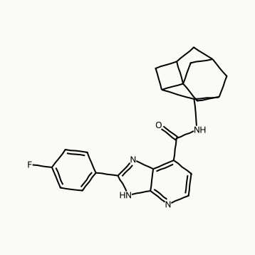 O=C(NC1C2CC3CC4CC1C4(C3)C2)c1ccnc2[nH]c(-c3ccc(F)cc3)nc12